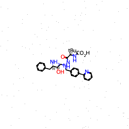 CC(C)(C)[C@H](NC(=O)O)C(=O)NN(Cc1ccc(-c2ccccn2)cc1)C[C@H](O)[C@@H](N)Cc1ccccc1